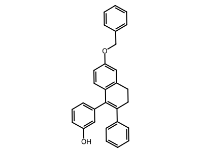 Oc1cccc(C2=C(c3ccccc3)CCc3cc(OCc4ccccc4)ccc32)c1